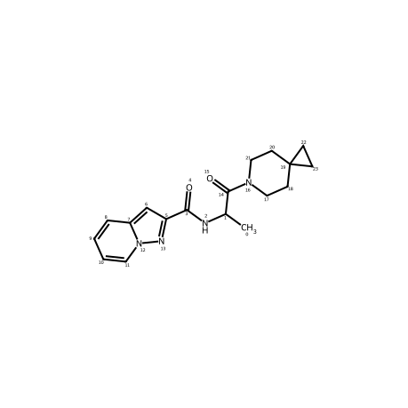 CC(NC(=O)c1cc2ccccn2n1)C(=O)N1CCC2(CC1)CC2